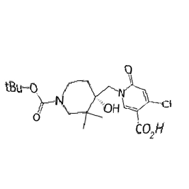 CC(C)(C)OC(=O)N1CC[C@@](O)(Cn2cc(C(=O)O)c(Cl)cc2=O)C(C)(C)C1